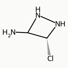 NC1NN[C@@H]1Cl